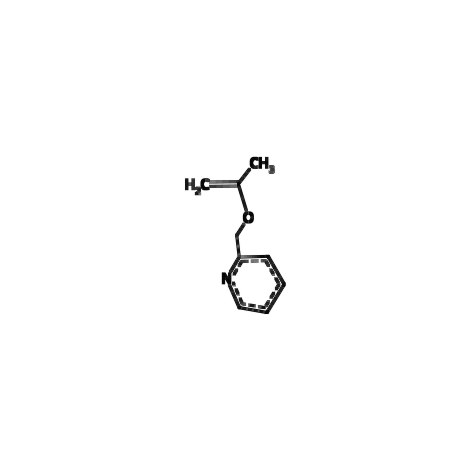 C=C(C)OCc1ccccn1